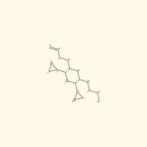 C(OCC1CO1)C1CO1.C=CCCCCCCCCC